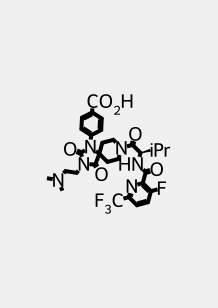 CC(C)[C@@H](NC(=O)c1nc(C(F)(F)F)ccc1F)C(=O)N1CCC2(CC1)C(=O)N(CCN(C)C)C(=O)N2c1ccc(C(=O)O)cc1